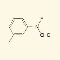 Cc1cccc(N(F)[C]=O)c1